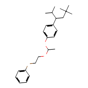 CC(OCCSc1ccccc1)Oc1ccc(C(CC(C)(C)C)C(C)C)cc1